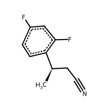 C[C@H](CC#N)c1ccc(F)cc1F